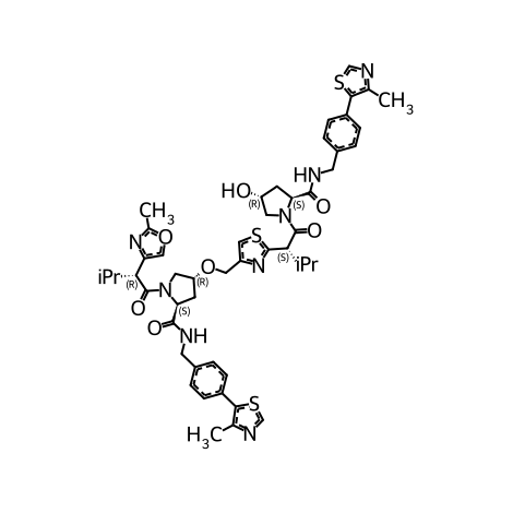 Cc1nc([C@H](C(=O)N2C[C@H](OCc3csc([C@H](C(=O)N4C[C@H](O)C[C@H]4C(=O)NCc4ccc(-c5scnc5C)cc4)C(C)C)n3)C[C@H]2C(=O)NCc2ccc(-c3scnc3C)cc2)C(C)C)co1